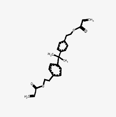 C=CC(=O)OCCc1ccc(C(C)(C)c2ccc(CCOC(=O)C=C)cc2)cc1